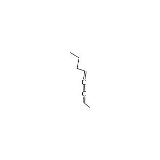 CC=C=C=CCCC